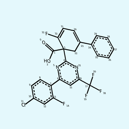 O=C(O)C1(c2nc(-c3ccc(Cl)cc3F)cc(C(F)(F)F)n2)CC(c2ccccc2)=CC=C1F